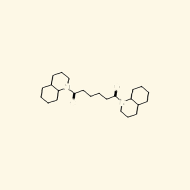 O=C(CCCCC(=O)N1CCCC2CCCCC21)N1CCCC2CCCCC21